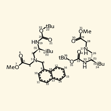 CC[C@H](C)[C@@H](CN(CC(=O)OC)Cc1cccc2ccccc12)NC(=O)OC(C)(C)C.CC[C@H](C)[C@@H](CNCC(=O)OC)NC(=O)OC(C)(C)C